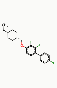 CC[C@H]1CC[C@H](COc2ccc(-c3ccc(F)cc3)c(F)c2F)CC1